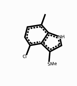 CSc1c[nH]c2c(C)ccc(Cl)c12